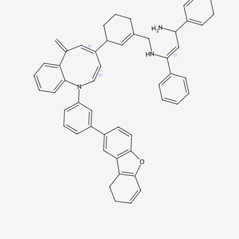 C=C1/C=C(C2C=C(CN/C(=C\C(N)C3=CCCC=C3)c3ccccc3)CCC2)\C=C/N(c2cccc(-c3ccc4oc5c(c4c3)CCC=C5)c2)c2ccccc21